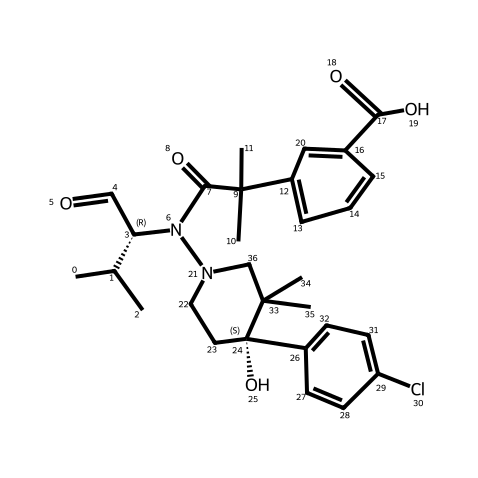 CC(C)[C@H](C=O)N(C(=O)C(C)(C)c1cccc(C(=O)O)c1)N1CC[C@](O)(c2ccc(Cl)cc2)C(C)(C)C1